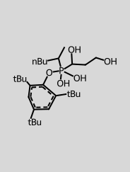 CCCCC(C)P(O)(O)(Oc1c(C(C)(C)C)cc(C(C)(C)C)cc1C(C)(C)C)C(O)CCO